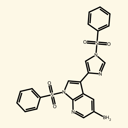 Bc1cnc2c(c1)c(-c1cn(S(=O)(=O)c3ccccc3)cn1)cn2S(=O)(=O)c1ccccc1